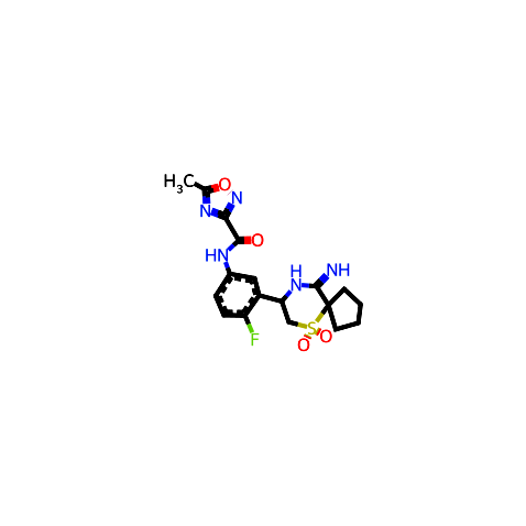 Cc1nc(C(=O)Nc2ccc(F)c(C3CS(=O)(=O)C4(CCCC4)C(=N)N3)c2)no1